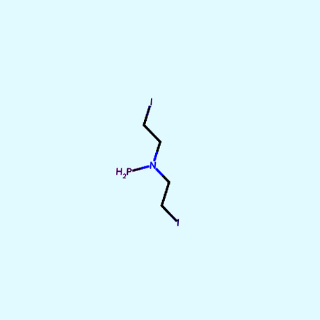 PN(CCI)CCI